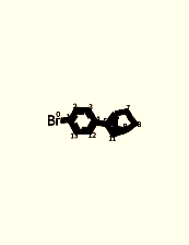 Brc1ccc(C2=C3CCC(C3)C2)cc1